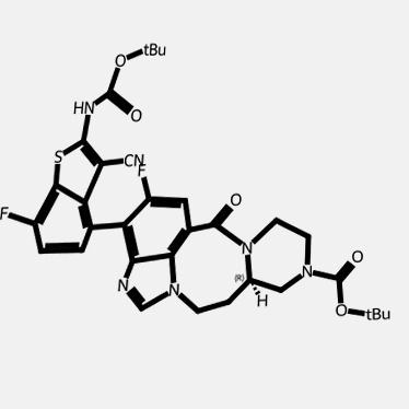 CC(C)(C)OC(=O)Nc1sc2c(F)ccc(-c3c(F)cc4c5c3ncn5CC[C@@H]3CN(C(=O)OC(C)(C)C)CCN3C4=O)c2c1C#N